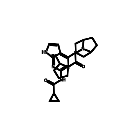 N#CC1CCCN1C(=O)CN1C2CCC1CN(c1cc(NC(=O)C3CC3)nc3[nH]ccc13)C2